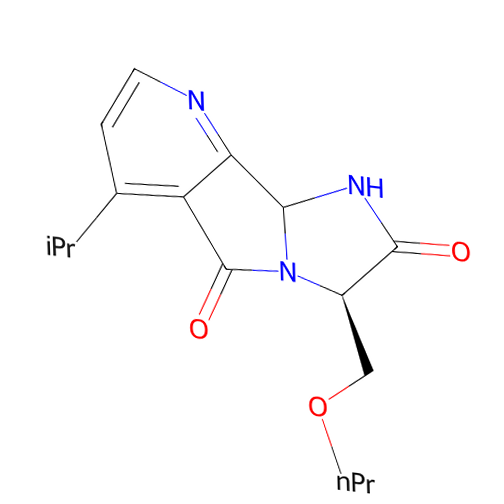 CCCOC[C@@H]1C(=O)NC2c3nccc(C(C)C)c3C(=O)N21